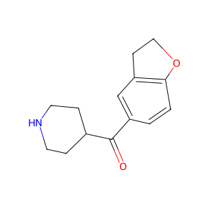 O=C(c1ccc2c(c1)CCO2)C1CCNCC1